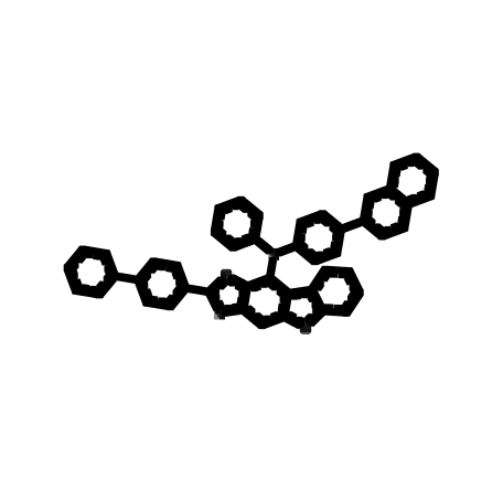 c1ccc(-c2ccc(-c3nc4cc5oc6ccccc6c5c(N(c5ccccc5)c5ccc(-c6ccc7ccccc7c6)cc5)c4o3)cc2)cc1